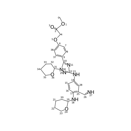 COC(=O)COc1ccc(-c2nc(Nc3ccc(NC4CCCCO4)c(C=N)c3)nn2C2CCCCO2)cc1